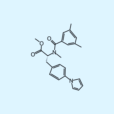 COC(=O)[C@@H](Cc1ccc(-n2cccc2)cc1)N(C)C(=O)c1cc(C)cc(C)c1